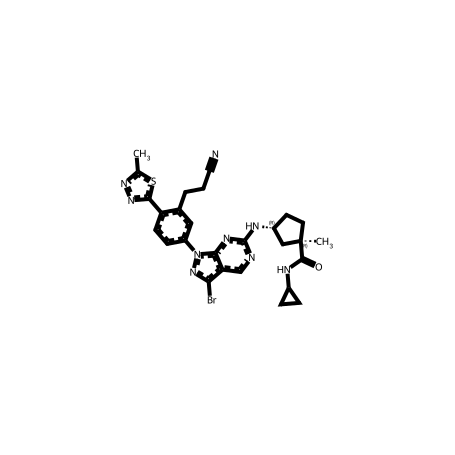 Cc1nnc(-c2ccc(-n3nc(Br)c4cnc(N[C@@H]5CC[C@@](C)(C(=O)NC6CC6)C5)nc43)cc2CCC#N)s1